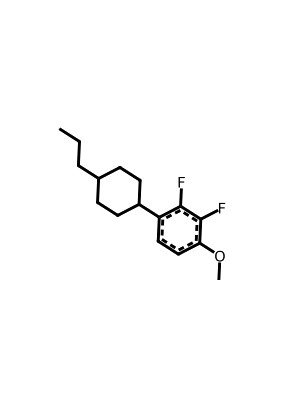 CCCC1CCC(c2ccc(OC)c(F)c2F)CC1